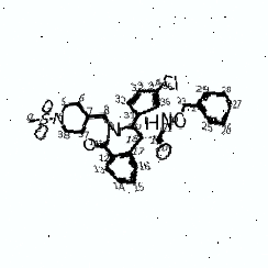 CS(=O)(=O)N1CCC(CN2C(=O)c3ccccc3[C@@H](C(=O)NOCc3ccccc3)C2C2C=CC(Cl)=C2)CC1